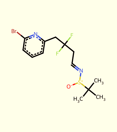 CC(C)(C)[S+]([O-])N=CCC(F)(F)Cc1cccc(Br)n1